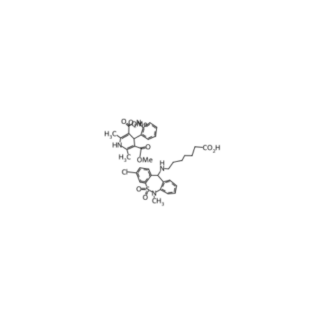 CN1c2ccccc2C(NCCCCCCC(=O)O)c2ccc(Cl)cc2S1(=O)=O.COC(=O)C1=C(C)NC(C)=C(C(=O)OC)C1c1ccccc1[N+](=O)[O-]